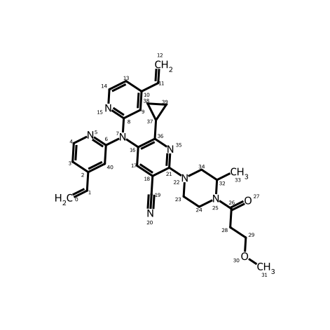 C=Cc1ccnc(N(c2cc(C=C)ccn2)c2cc(C#N)c(N3CCN(C(=O)CCOC)C(C)C3)nc2C2CC2)c1